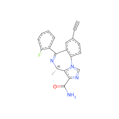 C#Cc1ccc2c(c1)C(c1ccccc1F)=N[C@@H](C)c1c(C(N)=O)ncn1-2